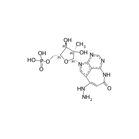 C[C@@]1(O)[C@H](O)[C@@H](COP(=O)(O)O)O[C@H]1n1cc2c3c(ncnc31)NC(=O)C=C2NN